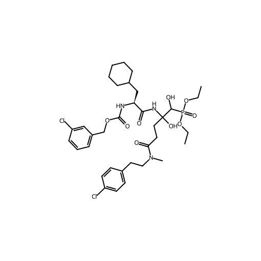 CCOP(=O)(OCC)C(O)C(O)(CCC(=O)N(C)CCc1ccc(Cl)cc1)NC(=O)[C@H](CC1CCCCC1)NC(=O)OCc1cccc(Cl)c1